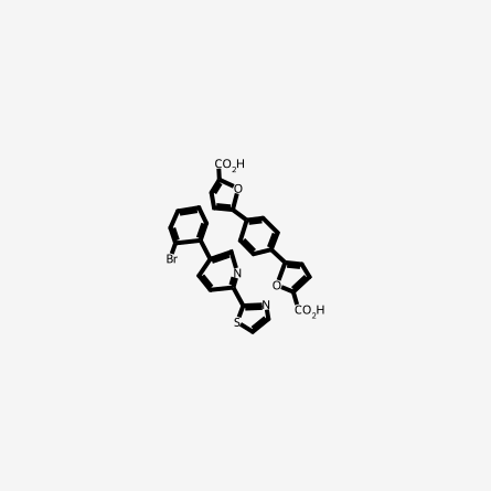 Brc1ccccc1-c1ccc(-c2nccs2)nc1.O=C(O)c1ccc(-c2ccc(-c3ccc(C(=O)O)o3)cc2)o1